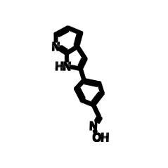 ON=Cc1ccc(-c2cc3cccnc3[nH]2)cc1